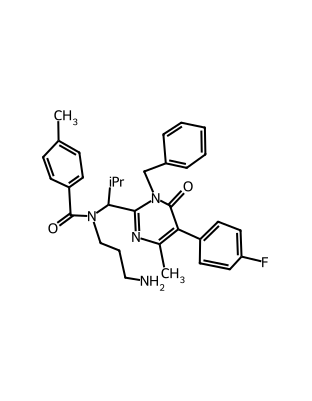 Cc1ccc(C(=O)N(CCCN)C(c2nc(C)c(-c3ccc(F)cc3)c(=O)n2Cc2ccccc2)C(C)C)cc1